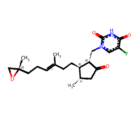 C/C(=C\CC[C@@]1(C)CO1)CC[C@H]1[C@H](Cn2cc(F)c(=O)[nH]c2=O)C(=O)C[C@@H]1C